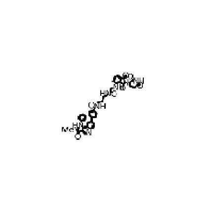 CNC(=O)c1cnc2ccc(-c3ccc(C(=O)NCCCCNC(=O)CNc4cccc5c4C(=O)N(C4CCC(=O)NC4=O)C5=O)cc3)cc2c1Nc1ccccc1